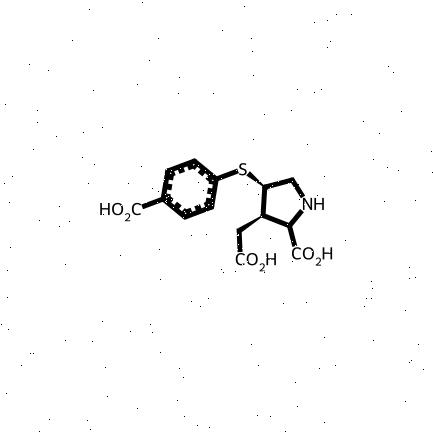 O=C(O)C[C@@H]1C(C(=O)O)NC[C@@H]1Sc1ccc(C(=O)O)cc1